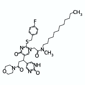 CCCCCCCCCCCCN(C)C(=O)Cn1cc(C(CC(=O)N2CCOCC2)c2cnc(=O)[nH]c2)c(=O)nc1SCc1ccc(F)cc1